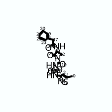 Cc1cc(NS(=O)(=O)NC(=O)N2C[C@H](NC(=O)Cc3ccccc3)C2=O)ns1